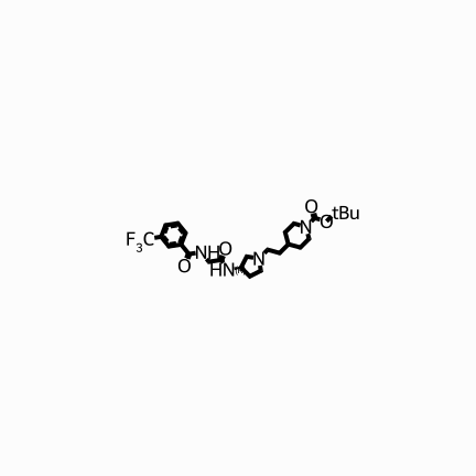 CC(C)(C)OC(=O)N1CCC(CCN2CC[C@@H](NC(=O)CNC(=O)c3cccc(C(F)(F)F)c3)C2)CC1